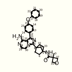 CC1(C(=O)NC23CCC(c4nc(-c5ccc(Oc6ccccc6)cc5)c5c(N)nccn45)(CC2)C3)COC1